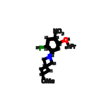 [CH2]CCOc1cc(N2CC3(CC(OC)C3)C2)c(F)cc1[N+](=O)[O-]